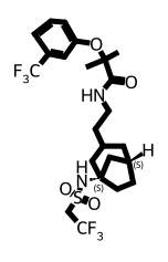 CC(C)(Oc1cccc(C(F)(F)F)c1)C(=O)NCCC1C[C@@H]2CC[C@@](NS(=O)(=O)CC(F)(F)F)(C1)C2